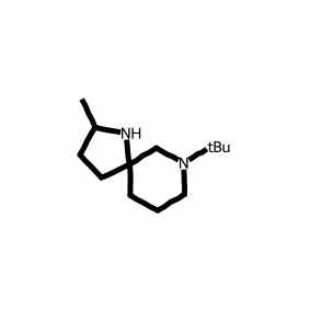 CC1CCC2(CCCN(C(C)(C)C)C2)N1